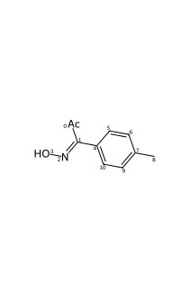 CC(=O)/C(=N\O)c1ccc(C)cc1